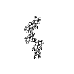 O=C1C(=C2C=C(c3cc4c(s3)-c3sc(C5=CC(=C6C(=O)c7cc(F)c(F)cc7C6=O)c6ccccc65)cc3C43CCCCC3)c3ccccc32)C(=O)c2cc(F)c(F)cc21